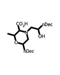 CCCCCCCCCCC(O)CN1CC(CCCCCCCCCC)OC(C)C1C(=O)O